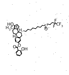 C[C@]12CC[C@@H]3c4ccc(OC(=O)c5ccccc5O)cc4C[C@@H](CCCCCCCCC[S+]([O-])CCCC(F)(F)C(F)(F)F)[C@H]3[C@@H]1CC[C@@H]2O